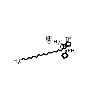 CCCCCCCCCCCCCCCCCC[Si](C)(C1=CC[C]([Ti+3])=C1C(C)C)c1ccccc1.[Cl-].[Cl-].[Cl-]